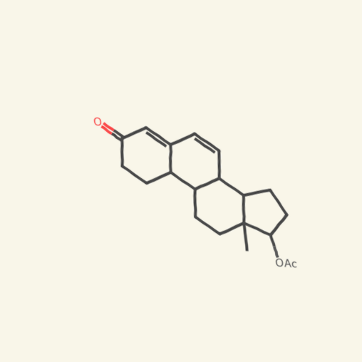 CC(=O)OC1CCC2C3C=CC4=CC(=O)CCC4C3CCC12C